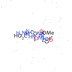 C=CC(=O)Nc1cc(Nc2cnc(-c3ccc4cccc(NC(=O)C=C)c4c3)nc2C(=O)OC)cc2ccc(-c3ncc(N)c(C(=O)O)n3)cc12